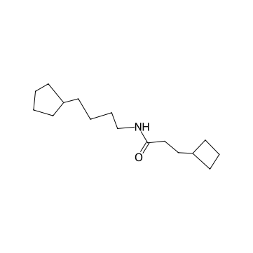 O=C(CCC1CCC1)NCCCCC1CCCC1